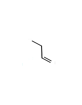 C=C[CH2][Al].F.F